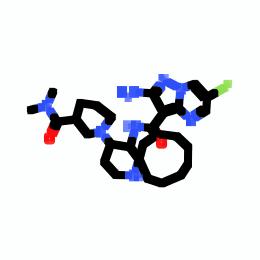 CN(C)C(=O)C1CCCN(C2CCNC3(CCCCCCCC3)C2NC(=O)c2c(N)nn3cc(F)cnc23)C1